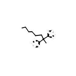 CC(CCCCCF)(c1nnn[nH]1)c1nnn[nH]1